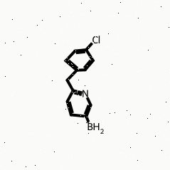 Bc1ccc(Cc2ccc(Cl)cc2)nc1